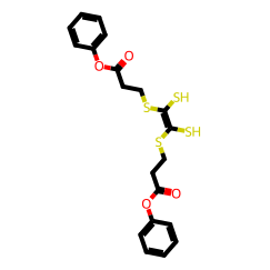 O=C(CCS/C(S)=C(/S)SCCC(=O)Oc1ccccc1)Oc1ccccc1